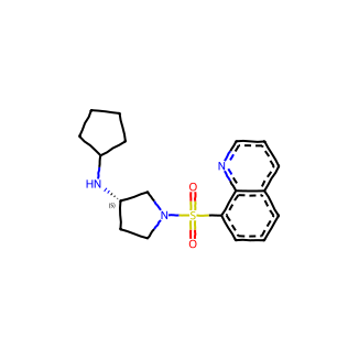 O=S(=O)(c1cccc2cccnc12)N1CC[C@H](NC2CCCC2)C1